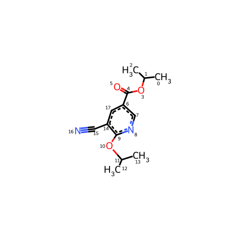 CC(C)OC(=O)c1cnc(OC(C)C)c(C#N)c1